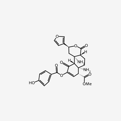 COC(=O)[C@@H]1C=C(OC(=O)c2ccc(O)cc2)C(=O)[C@H]2[C@@]1(N)CC[C@H]1C(=O)O[C@H](c3ccoc3)C[C@]21N